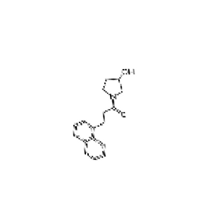 O=C(CCc1cccc2ccccc12)N1CCC(O)C1